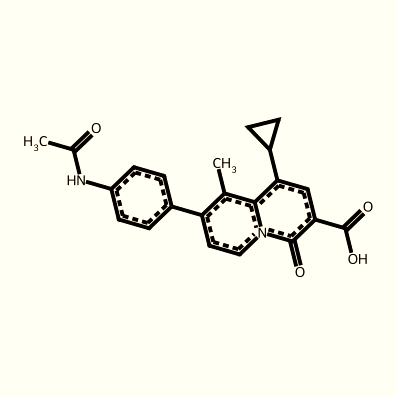 CC(=O)Nc1ccc(-c2ccn3c(=O)c(C(=O)O)cc(C4CC4)c3c2C)cc1